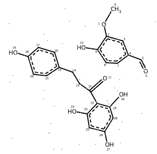 COc1cc(C=O)ccc1O.O=C(CCc1ccc(O)cc1)c1c(O)cc(O)cc1O